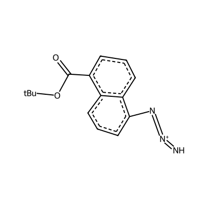 CC(C)(C)OC(=O)c1cccc2c(N=[N+]=N)cccc12